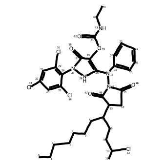 CCCCCCCC(CCC(C)Cl)C1CC(=O)N(N(c2ccccc2)c2[nH]n(-c3c(Cl)cc(Cl)cc3Cl)c(=O)c2OC(=O)NCC)C1=O